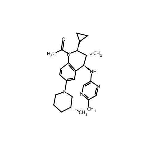 CC(=O)N1c2ccc(N3CCC[C@@H](C)C3)cc2[C@H](Nc2cnc(C)cn2)[C@@H](C)[C@@H]1C1CC1